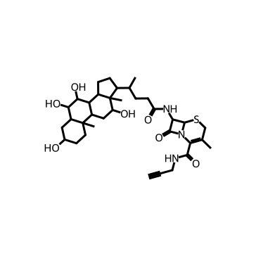 C#CCNC(=O)C1=C(C)CSC2C(NC(=O)CCC(C)C3CCC4C5C(O)C(O)C6CC(O)CCC6(C)C5CC(O)C34C)C(=O)N12